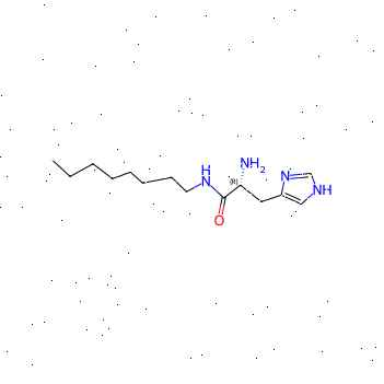 CCCCCCCCNC(=O)[C@H](N)Cc1c[nH]cn1